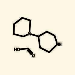 C1CCN(C2CCNCC2)CC1.O=CO